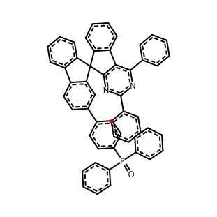 O=P(c1ccccc1)(c1ccccc1)c1ccc(-c2ccc3c(c2)C2(c4ccccc4-3)c3ccccc3-c3c(-c4ccccc4)nc(-c4ccccc4)nc32)cc1